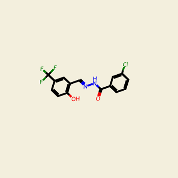 O=C(N/N=C/c1cc(C(F)(F)F)ccc1O)c1cccc(Cl)c1